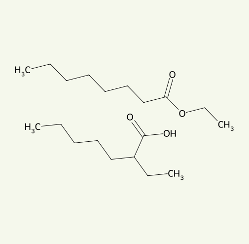 CCCCCC(CC)C(=O)O.CCCCCCCC(=O)OCC